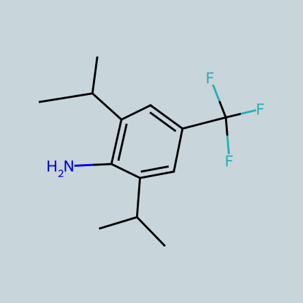 CC(C)c1cc(C(F)(F)F)cc(C(C)C)c1N